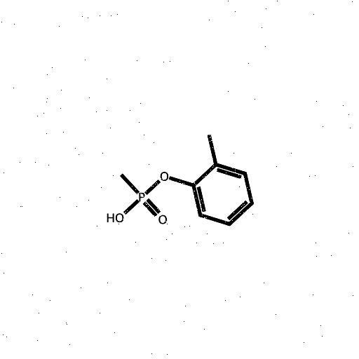 Cc1ccccc1OP(C)(=O)O